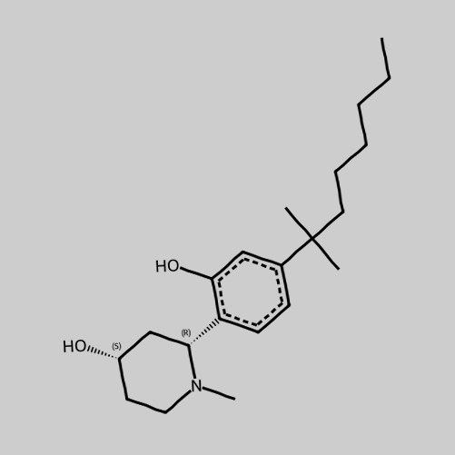 CCCCCCC(C)(C)c1ccc([C@H]2C[C@@H](O)CCN2C)c(O)c1